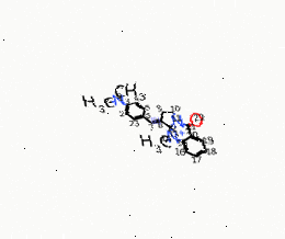 CN(C)c1ccc(/C=C2\CCn3c2[n+](C)c2ccccc2c3=O)cc1